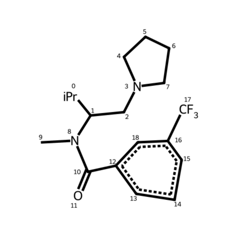 CC(C)C(CN1CCCC1)N(C)C(=O)c1cccc(C(F)(F)F)c1